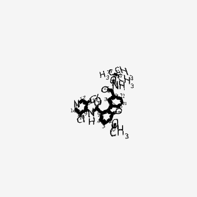 COc1ccc(C(=O)Nc2c(Cl)cncc2Cl)c2c1oc1ccc(C(=O)NOC(C)(C)C)cc12